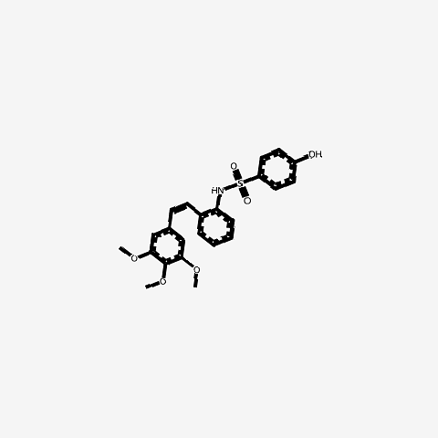 COc1cc(/C=C\c2ccccc2NS(=O)(=O)c2ccc(O)cc2)cc(OC)c1OC